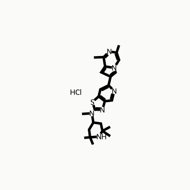 Cc1cn2cc(-c3cc4sc(N(C)C5CC(C)(C)NC(C)(C)C5)nc4cn3)cc2c(C)n1.Cl